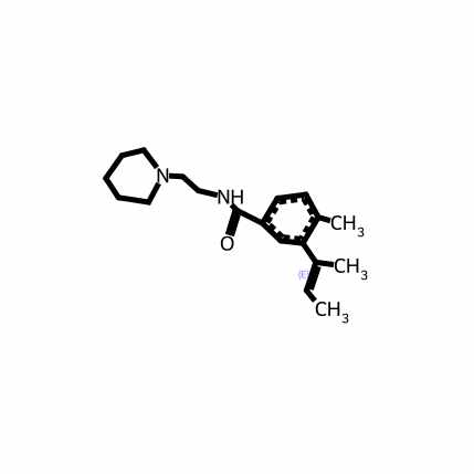 C/C=C(\C)c1cc(C(=O)NCCN2CCCCC2)ccc1C